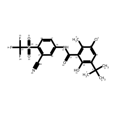 Cc1c(Cl)cc(C(C)(C)C)c(O)c1C(=O)Nc1ccc(S(=O)(=O)C(F)(F)F)c(C#N)c1